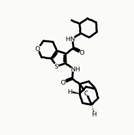 CC1CCCCC1NC(=O)c1c(NC(=O)C23CC4C[C@@H](C[C@H]2C4)C3)sc2c1CCOC2